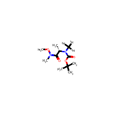 [2H]C([2H])([2H])N(C(=O)OC(C)(C)C)[C@@H](C)C(=O)N(C)OC